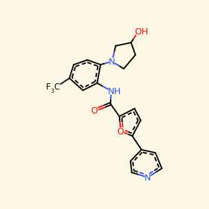 O=C(Nc1cc(C(F)(F)F)ccc1N1CCC(O)C1)c1ccc(-c2ccncc2)o1